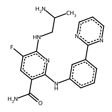 CC(N)CNc1nc(Nc2cccc(-c3ncccn3)c2)c(C(N)=O)cc1F